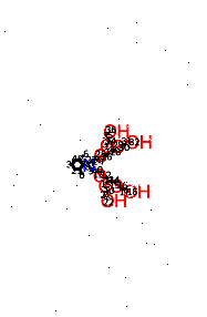 Cc1cccc(C)c1N(CCOCC(COCCO)OCCO)CCOCC(COCCO)OCCO